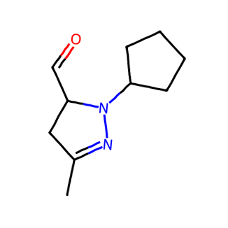 CC1=NN(C2CCCC2)C(C=O)C1